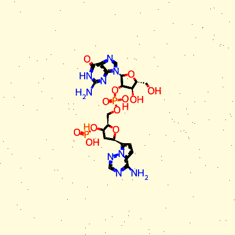 Nc1nc2c(ncn2[C@@H]2O[C@H](CO)[C@@H](O)C2OP(=O)(O)OC[C@H]2O[C@@H](c3ccc4c(N)ncnn34)CC2O[PH](=O)O)c(=O)[nH]1